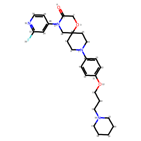 O=C1COC2(CCN(c3ccc(OCCCN4CCCCC4)cc3)CC2)CN1c1ccnc(F)c1